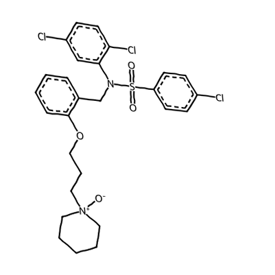 O=S(=O)(c1ccc(Cl)cc1)N(Cc1ccccc1OCCC[N+]1([O-])CCCCC1)c1cc(Cl)ccc1Cl